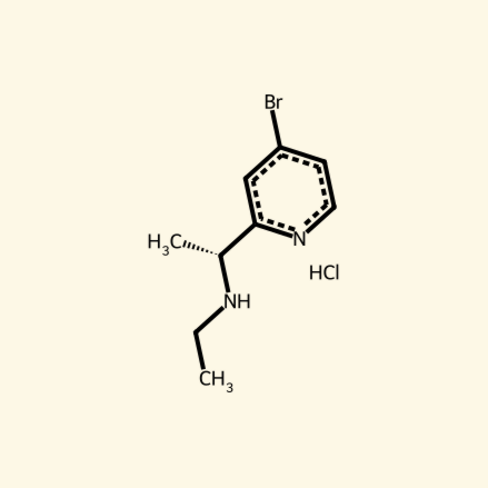 CCN[C@H](C)c1cc(Br)ccn1.Cl